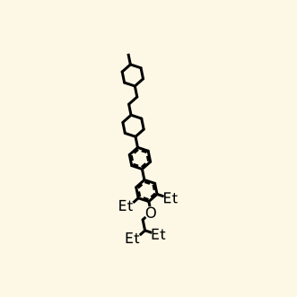 CCc1cc(-c2ccc(C3CCC(CCC4CCC(C)CC4)CC3)cc2)cc(CC)c1OCC(CC)CC